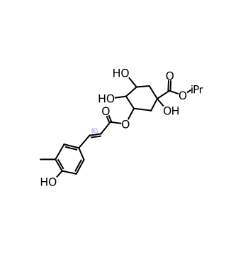 Cc1cc(/C=C/C(=O)OC2CC(O)(C(=O)OC(C)C)CC(O)C2O)ccc1O